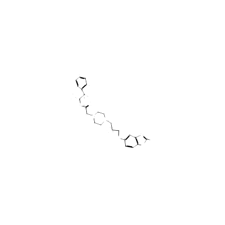 Cc1nc2cc(OC[C@H](O)CN3CCN(CC(=O)N[C@@H](C)[C@H](O)c4ccccc4)CC3)ccc2s1